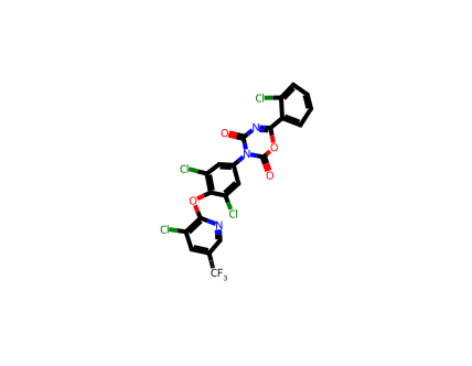 O=c1nc(-c2ccccc2Cl)oc(=O)n1-c1cc(Cl)c(Oc2ncc(C(F)(F)F)cc2Cl)c(Cl)c1